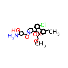 CCc1cccc(-c2c(Cl)cccc2C(O)(CCCCOC)C2CCCN(C(=O)C3CC(N)C(O)C3)C2)c1